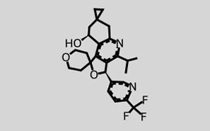 CC(C)c1nc2c(c3c1[C@@H](c1ccc(C(F)(F)F)nc1)OC31CCOCC1)[C@@H](O)CC1(CC1)C2